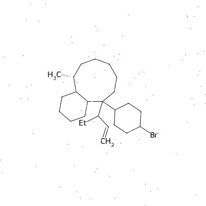 C=CC(CC)C1(C2CCC(Br)CC2)CCCCC[C@@H](C)C2CCCCC21